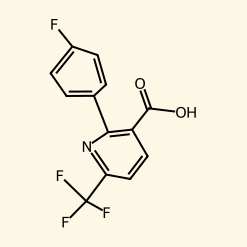 O=C(O)c1ccc(C(F)(F)F)nc1-c1ccc(F)cc1